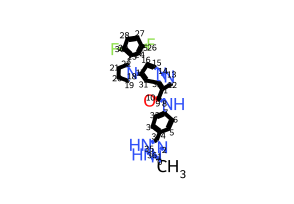 CN1N=C(c2ccc(NC(=O)c3cnn4ccc(N5CCC[C@@H]5c5cc(F)ccc5F)cc34)cc2)NN1